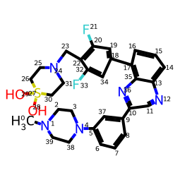 CN1CCN(c2cccc(-c3cnc4cccc(-c5cc(F)c(CN6CCS(O)(O)CC6)c(F)c5)c4n3)c2)CC1